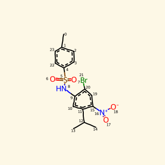 Cc1ccc(S(=O)(=O)Nc2cc(C(C)C)c([N+](=O)[O-])cc2Br)cc1